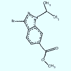 COC(=O)c1ccc2c(Br)nn(C(C)C)c2c1